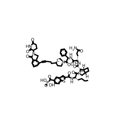 CCCC[C@H](NC(=O)c1cc2cc(C(=O)P(=O)(O)O)ccc2s1)C(=O)N1C[C@H]2CC[C@H]2[C@H]1C(=O)N[C@@H](CCC(N)=O)C(=O)N[C@H](C(=O)N1CCC(CCC#Cc2cccc3c2CN(C2CCC(=O)NC2=O)C3=O)CC1)c1ccccc1